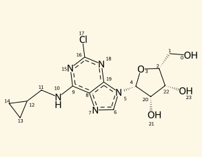 OC[C@H]1O[C@@H](n2cnc3c(NCC4CC4)nc(Cl)nc32)[C@@H](O)[C@H]1O